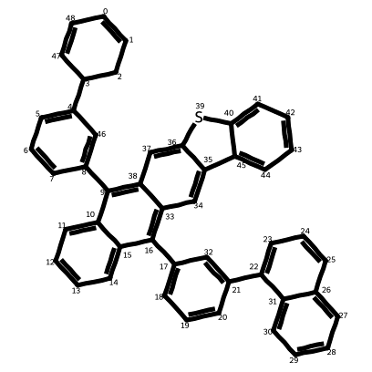 C1=CCC(c2cccc(-c3c4ccccc4c(-c4cccc(-c5cccc6ccccc56)c4)c4cc5c(cc34)sc3ccccc35)c2)C=C1